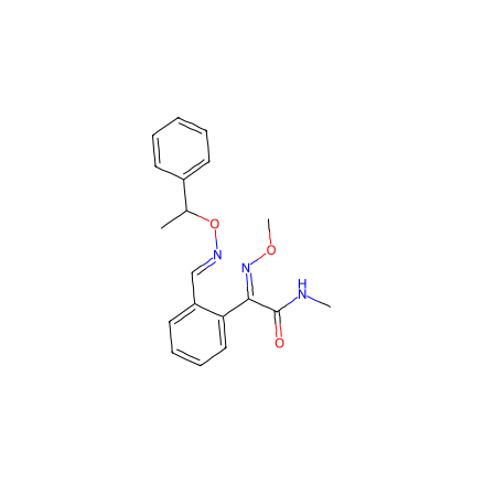 CNC(=O)C(=NOC)c1ccccc1C=NOC(C)c1ccccc1